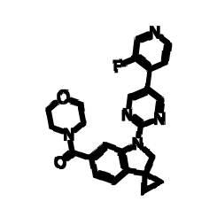 O=C(c1ccc2c(c1)N(c1ncc(-c3ccncc3F)cn1)CC21CC1)N1CCOCC1